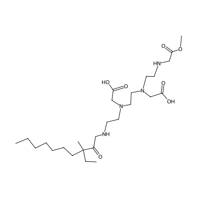 CCCCCCCC(C)(CC)C(=O)CNCCN(CCN(CCNCC(=O)OC)CC(=O)O)CC(=O)O